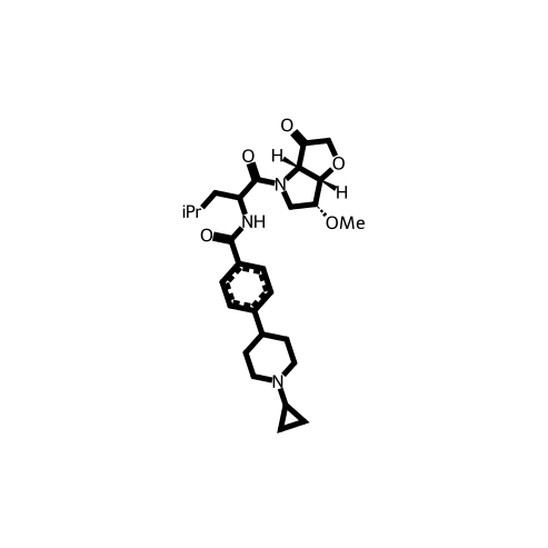 CO[C@@H]1CN(C(=O)C(CC(C)C)NC(=O)c2ccc(C3CCN(C4CC4)CC3)cc2)[C@@H]2C(=O)CO[C@@H]21